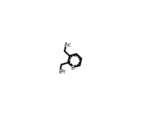 CC(=O)Cc1cccbc1CC(C)C